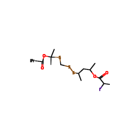 CC(CC(C)SSCSC(C)(C)OC(=O)C(C)C)OC(=O)C(C)I